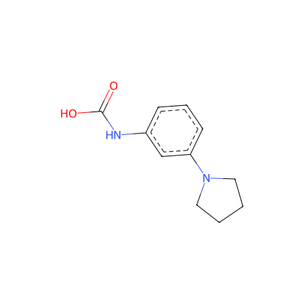 O=C(O)Nc1cccc(N2CCCC2)c1